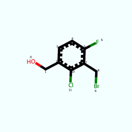 OCc1ccc(F)c(CBr)c1Cl